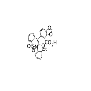 CCc1ccccc1N1C(OC(=O)O)=C(c2ccc3c(c2)OCO3)c2ccccc2S1(=O)=O